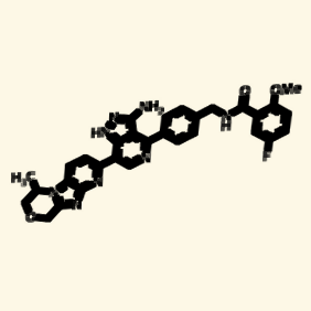 COc1ccc(F)cc1C(=O)NCc1ccc(-c2ncc(-c3ccc4c(n3)nc3n4C(C)COC3)c3[nH]nc(N)c23)cc1